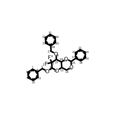 FC1(F)C(OCc2ccccc2)OC2COC(c3ccccc3)OC2C1OCc1ccccc1